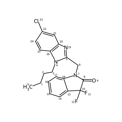 CCCCn1c(CN2C(=O)C(F)(F)c3ccccc32)nc2cc(Cl)ccc21